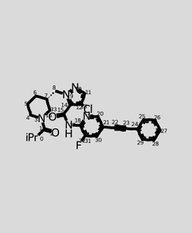 CC(C)C(=O)N1CCC[C@H](Cn2ncc(Cl)c2C(=O)Nc2ncc(C#Cc3ccccc3)cc2F)C1